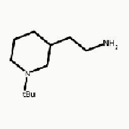 CC(C)(C)N1CCCC(CCN)C1